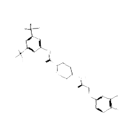 O=C(COc1ccc(Cl)c(F)c1)N[C@H]1CC[C@H](C(=O)Nc2cc(C(F)(F)F)cc(C(F)(F)F)c2)NC1